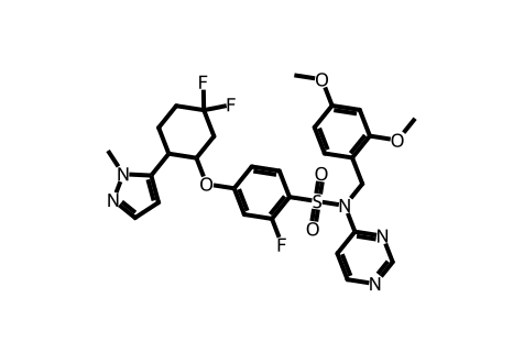 COc1ccc(CN(c2ccncn2)S(=O)(=O)c2ccc(OC3CC(F)(F)CCC3c3ccnn3C)cc2F)c(OC)c1